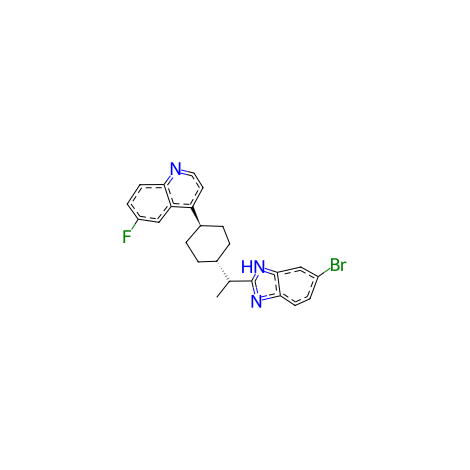 CC(c1nc2ccc(Br)cc2[nH]1)[C@H]1CC[C@H](c2ccnc3ccc(F)cc32)CC1